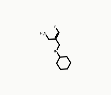 NC/C(=C\F)CNC1CCCCC1